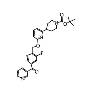 CC(C)(C)OC(=O)N1CCC(c2cccc(OCc3ccc(C(=O)c4cccnc4)cc3F)n2)CC1